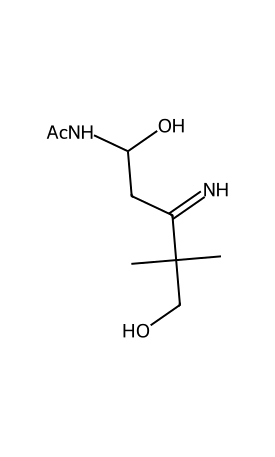 CC(=O)NC(O)CC(=N)C(C)(C)CO